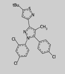 Cc1c(-c2cc(C(C)(C)C)sn2)nn(-c2ccc(Cl)cc2Cl)c1-c1ccc(Cl)cc1